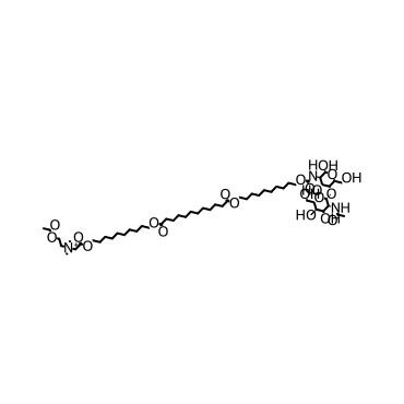 CC(=O)N[C@@H]1C(O)[C@@H](O)C(CO)O[C@@H]1O[C@H]1C(CO)O[C@H](O)[C@H](NC(=O)OCCCCCCCCCCOC(=O)CCCCCCCCCCC(=O)OCCCCCCCCCCOC(=O)C[N+](C)(C)CCOC(C)=O)C1O